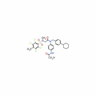 Cc1c(F)c(F)c(S(=O)(=O)N(C)CC(=O)N(Cc2ccc(C3CCCCC3)cc2)c2ccc(NC(=O)C(=O)O)cc2)c(F)c1F